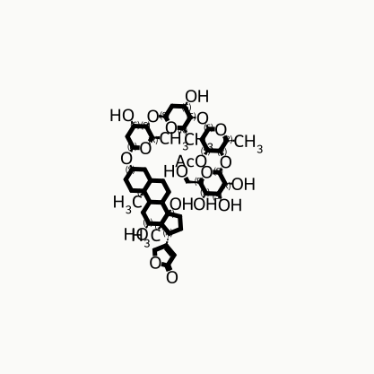 CC(=O)O[C@H]1C[C@H](O[C@H]2[C@@H](O)C[C@H](O[C@H]3[C@@H](O)C[C@H](O[C@H]4CC[C@@]5(C)C(CCC6C5C[C@@H](O)[C@]5(C)[C@@H](C7=CC(=O)OC7)CC[C@]65O)C4)O[C@@H]3C)O[C@@H]2C)O[C@H](C)[C@H]1O[C@@H]1O[C@H](CO)[C@@H](O)[C@H](O)[C@H]1O